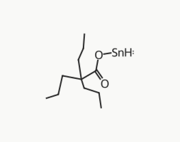 CCCC(CCC)(CCC)C(=O)[O][SnH]